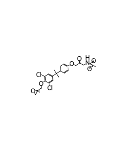 CC(C)(c1ccc(OCC(=O)CNS(C)(=O)=O)cc1)c1cc(Cl)c(OC[C@H]2CO2)c(Cl)c1